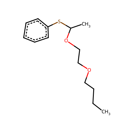 CCCCOCCOC(C)Sc1ccccc1